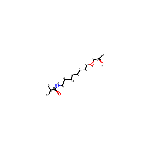 CC(=O)COCCCCCCCCNC(=O)C(C)C